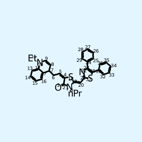 CCCn1c(=O)/c(=C\CC2C=CN(CC)c3ccccc32)s/c1=C\c1nc(-c2ccccc2)c(-c2ccccc2)s1